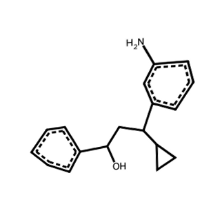 Nc1cccc(C(CC(O)c2ccccc2)C2CC2)c1